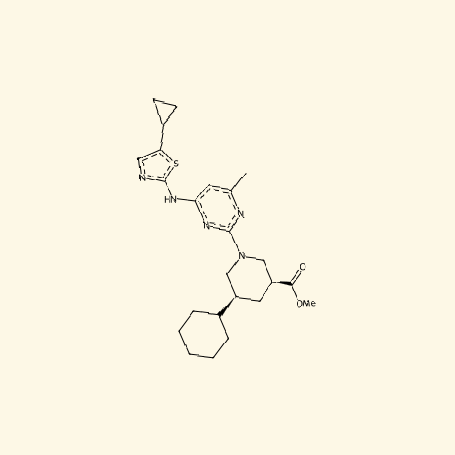 COC(=O)[C@H]1C[C@@H](C2CCCCC2)CN(c2nc(C)cc(Nc3ncc(C4CC4)s3)n2)C1